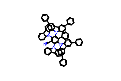 N#Cc1c(N2c3ccccc3C3C=CC=CC32)c(-n2c3ccc(-c4ccccc4)cc3c3cc(-c4ccccc4)ccc32)c(-c2ccccc2)c(-n2c3ccc(-c4ccccc4)cc3c3cc(-c4ccccc4)ccc32)c1-n1c2ccccc2c2ccccc21